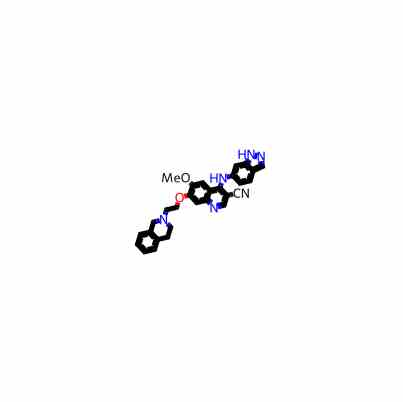 COc1cc2c(Nc3ccc4cn[nH]c4c3)c(C#N)cnc2cc1OCCN1CCc2ccccc2C1